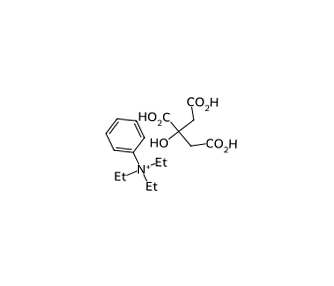 CC[N+](CC)(CC)c1ccccc1.O=C(O)CC(O)(CC(=O)O)C(=O)O